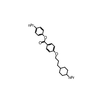 CCCc1ccc(OC(=O)c2ccc(OCCCC3CCC(CCC)CC3)cc2)cc1